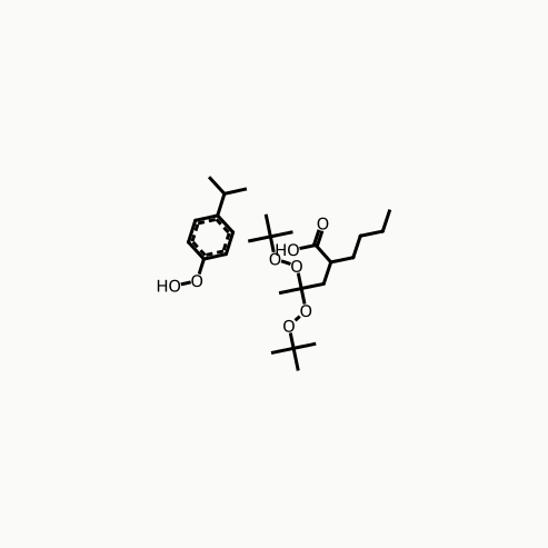 CC(C)c1ccc(OO)cc1.CCCCC(CC(C)(OOC(C)(C)C)OOC(C)(C)C)C(=O)O